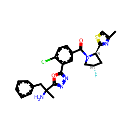 Cc1csc([C@H]2C[C@H](F)CN2C(=O)c2ccc(Cl)c(-c3nnc(C(C)(N)Cc4ccccc4)o3)c2)n1